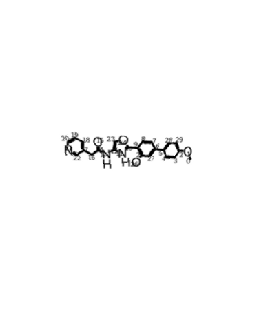 COc1ccc(-c2ccc(-c3nc(NC(=O)Cc4cccnc4)co3)c(O)c2)cc1